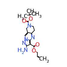 C=CCOC(=O)c1c(N)nn2cc3c(nc12)CCN(C(=O)OC(C)(C)C)C3